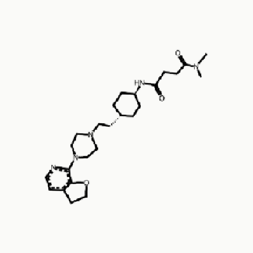 CN(C)C(=O)CCC(=O)N[C@H]1CC[C@H](CCN2CCN(c3nccc4c3OCC4)CC2)CC1